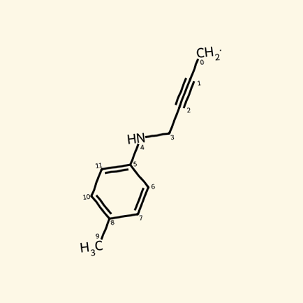 [CH2]C#CCNc1ccc(C)cc1